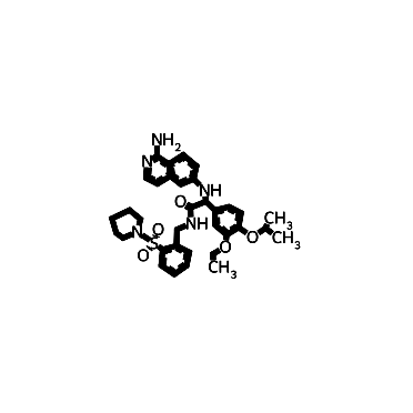 CCOc1cc(C(Nc2ccc3c(N)nccc3c2)C(=O)NCc2ccccc2S(=O)(=O)N2CCCCC2)ccc1OC(C)C